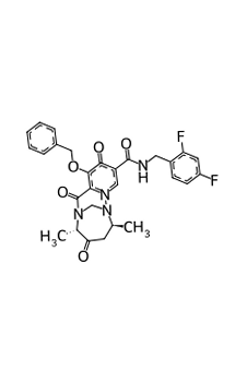 C[C@H]1C(=O)C[C@H](C)N2CN1C(=O)c1c(OCc3ccccc3)c(=O)c(C(=O)NCc3ccc(F)cc3F)cn12